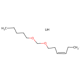 [CH2]C/C=C\CCOCOCCCCC.[LiH]